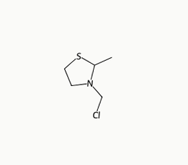 CC1SCCN1CCl